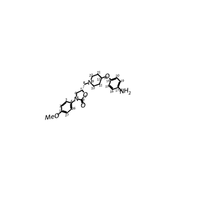 COc1ccc(N2C[C@H](CN3CCC(Oc4ccc(N)cc4)CC3)OC2=O)cc1